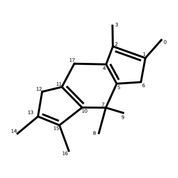 CC1=C(C)C2=C(C1)C(C)(C)C1=C(CC(C)=C1C)C2